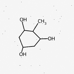 CC1C(O)CC(O)CC1O